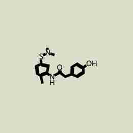 Cc1ccc(SN(C)C)cc1NC(=O)Cc1ccc(O)cc1